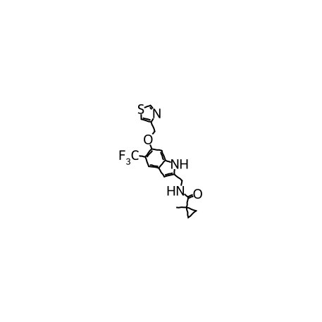 CC1(C(=O)NCc2cc3cc(C(F)(F)F)c(OCc4cscn4)cc3[nH]2)CC1